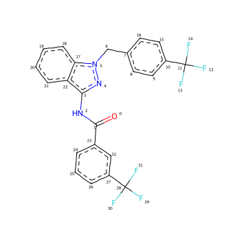 O=C(Nc1nn(Cc2ccc(C(F)(F)F)cc2)c2ccccc12)c1cccc(C(F)(F)F)c1